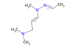 C/C=N/N(C)/C=C/CN(C)C